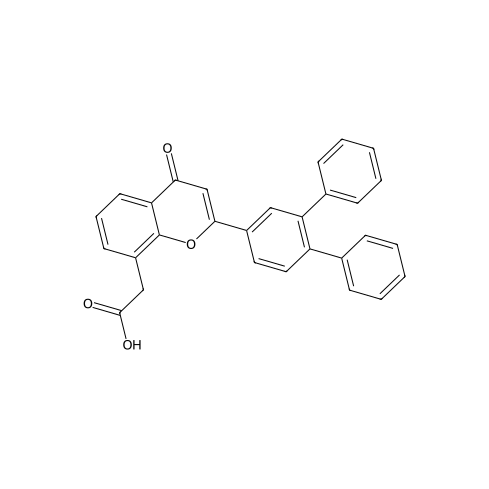 O=C(O)Cc1cccc2c(=O)cc(-c3ccc(-c4ccccc4)c(-c4ccccc4)c3)oc12